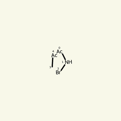 CC(=O)NBr.CC(C)=O